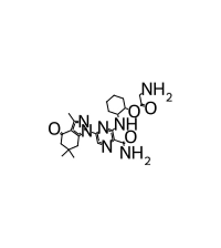 Cc1nn(-c2cnc(C(N)=O)c(NC3CCCCC3OC(=O)CN)n2)c2c1C(=O)CC(C)(C)C2